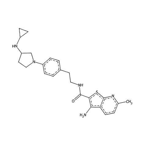 Cc1ccc2c(N)c(C(=O)NCCc3ccc(N4CCC(NC5CC5)C4)cc3)sc2n1